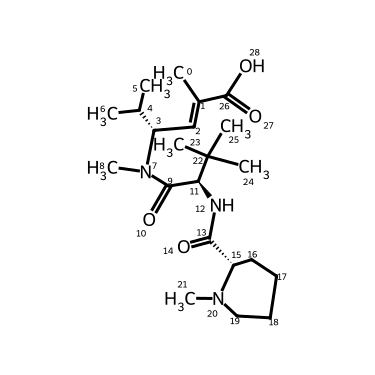 C/C(=C\[C@@H](C(C)C)N(C)C(=O)[C@H](NC(=O)[C@@H]1CCCCN1C)C(C)(C)C)C(=O)O